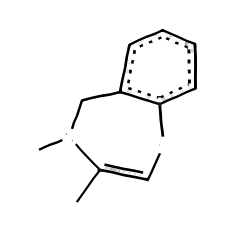 CC1=COc2ccccc2CN1C